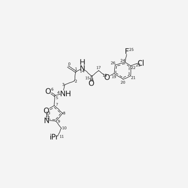 C=C(CCNC(=O)c1cc(CC(C)C)no1)NC(=O)COc1ccc(Cl)c(F)c1